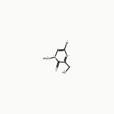 CCCCCn1cc(Br)nc(CS)c1=O